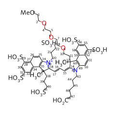 COCCOCCOCCOCCC1(C)/C(=C\C=C\C2=[N+](CCCS(=O)(=O)O)c3ccc4c(S(=O)(=O)O)cc(S(=O)(=O)O)cc4c3C2(C)CCCS(=O)(=O)O)N(CCCCCC(=O)O)c2ccc3c(S(=O)(=O)O)cc(S(=O)(=O)O)cc3c21